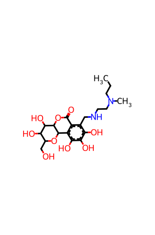 CCCN(C)CCNCc1c(O)c(O)c(O)c2c1C(=O)OC1C2OC(CO)C(O)C1O